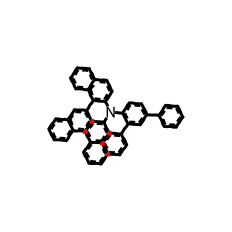 c1ccc(-c2ccc(N(c3ccc4ccccc4c3)c3ccc4ccccc4c3-c3ccc4ccccc4c3)c(-c3ccccc3)c2)cc1